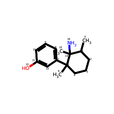 CC1CCCC(C)(c2cccc(O)c2)C1(C)N